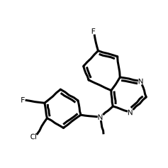 CN(c1ccc(F)c(Cl)c1)c1ncnc2cc(F)ccc12